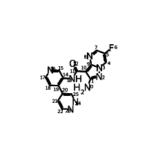 Nc1nn2cc(F)cnc2c1C(=O)Nc1cnccc1-c1ccnnc1